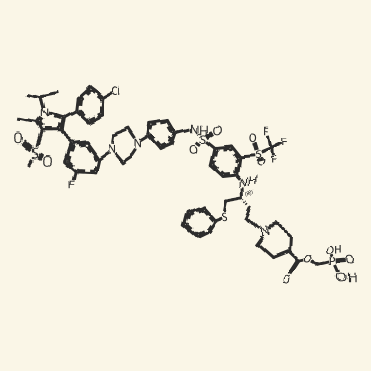 Cc1c(S(C)(=O)=O)c(-c2cc(F)cc(N3CCN(c4ccc(NS(=O)(=O)c5ccc(N[C@H](CCN6CCC(C(=O)OCP(=O)(O)O)CC6)CSc6ccccc6)c(S(=O)(=O)C(F)(F)F)c5)cc4)CC3)c2)c(-c2ccc(Cl)cc2)n1C(C)C